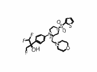 O=S(=O)(c1cccs1)N1CCN(c2ccc(C(O)(CF)C(F)F)cc2)[C@H](CN2CCOCC2)C1